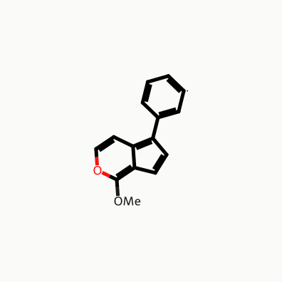 COc1occc2c(-c3c[c]ccc3)ccc1-2